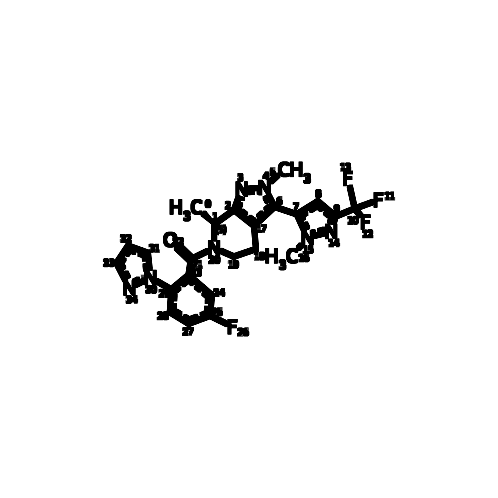 C[C@H]1c2nn(C)c(-c3cc(C(F)(F)F)nn3C)c2CCN1C(=O)c1cc(F)ccc1-n1cccn1